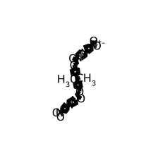 CC(C)(c1ccc(OCC(=O)N2CCN(c3ccc([N+](=O)[O-])cc3)CC2)cc1)c1ccc(OCC(=O)N2CCN(c3ccc([N+](=O)[O-])cc3)CC2)cc1